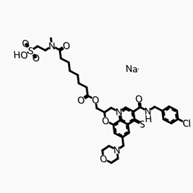 CN(CCS(=O)(=O)O)C(=O)CCCCCCC(=O)OCC1Cn2cc(C(=O)NCc3ccc(Cl)cc3)c(=S)c3cc(CN4CCOCC4)cc(c32)O1.[Na]